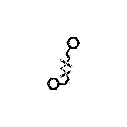 O=S(=O)(/C=C\c1ccccc1)NS(=O)(=O)/C=C/c1ccccc1